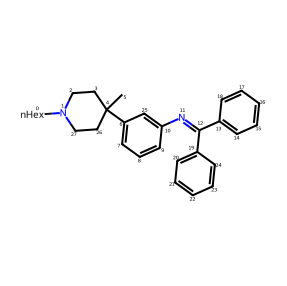 CCCCCCN1CCC(C)(c2cccc(N=C(c3ccccc3)c3ccccc3)c2)CC1